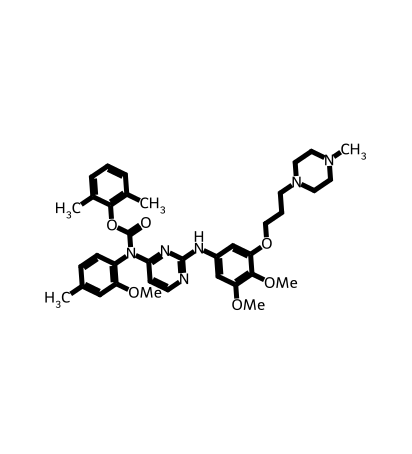 COc1cc(C)ccc1N(C(=O)Oc1c(C)cccc1C)c1ccnc(Nc2cc(OC)c(OC)c(OCCCN3CCN(C)CC3)c2)n1